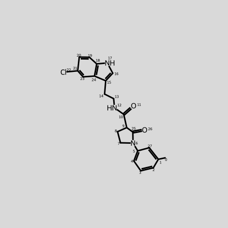 Cc1cccc(N2CCC(C(=O)NCCc3c[nH]c4ccc(Cl)cc34)C2=O)c1